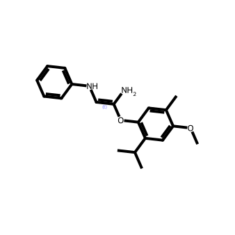 COc1cc(C(C)C)c(O/C(N)=C/Nc2ccccc2)cc1C